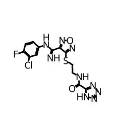 N=C(Nc1ccc(F)c(Cl)c1)c1nonc1SCCNC(=O)c1nnn[nH]1